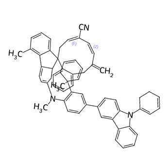 C=C1/C=C\C(C#N)=C/CC2(c3ccccc3C1)c1cccc(C)c1C1=CC=C(N(C)c3ccc(-c4ccc5c(c4)c4ccccc4n5C4=CC=CCC4)cc3C3(C)C=CC=CC3)CC12